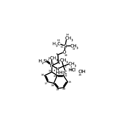 CC(C)(C)[NH][Ti]([CH3])(=[SiH2])([CH2]CO[Si](C)(C)C)[CH]1C=Cc2ccccc21.Cl.Cl